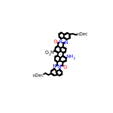 CCCCCCCCCCCCc1cc2cccc3c2c(c1)nc1c2ccc4c5c([N+](=O)[O-])cc6c(=O)n7c8cccc9cc(CCCCCCCCCCCC)cc(nc7c7ccc(c%10c(N)cc(c(=O)n31)c2c4%10)c5c67)c98